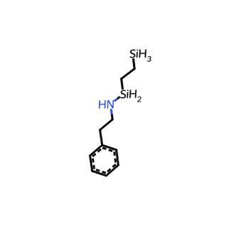 [SiH3]CC[SiH2]NCCc1ccccc1